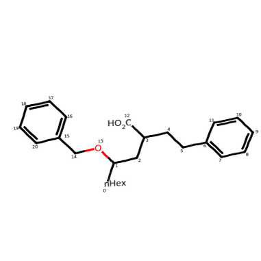 CCCCCCC(CC(CCc1ccccc1)C(=O)O)OCc1ccccc1